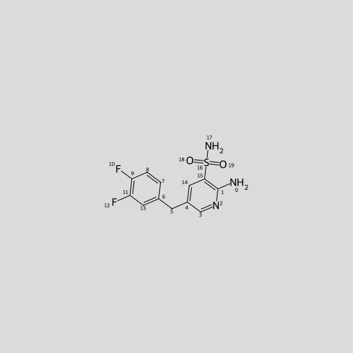 Nc1ncc(Cc2ccc(F)c(F)c2)cc1S(N)(=O)=O